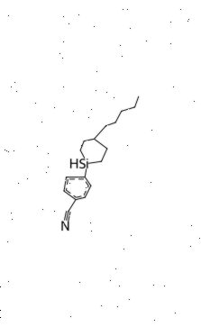 CCCCCC1CC[SiH](c2ccc(C#N)cc2)CC1